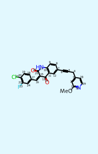 COc1cc(CC#Cc2ccc3c(c2)C(=O)/C(=C/c2ccc(Cl)c(F)c2)C(=O)N3)ccn1